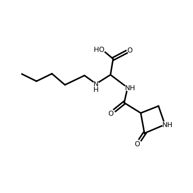 CCCCCNC(NC(=O)C1CNC1=O)C(=O)O